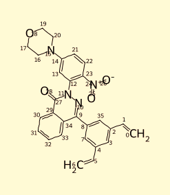 C=Cc1cc(C=C)cc(-c2nn(-c3cc(N4CCOCC4)ccc3[N+](=O)[O-])c(=O)c3ccccc23)c1